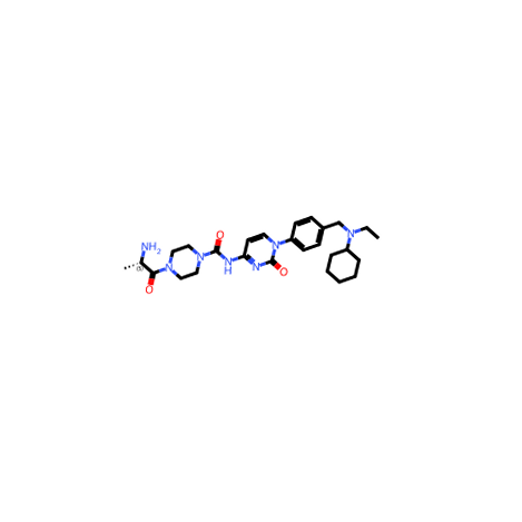 CCN(Cc1ccc(-n2ccc(NC(=O)N3CCN(C(=O)[C@H](C)N)CC3)nc2=O)cc1)C1CCCCC1